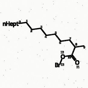 CCCCCCCCCCCCCCC(C)C(=O)OBr